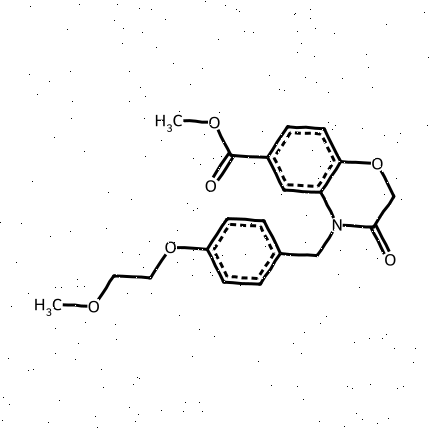 COCCOc1ccc(CN2C(=O)COc3ccc(C(=O)OC)cc32)cc1